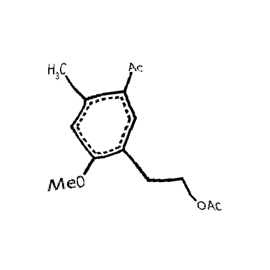 COc1cc(C)c(C(C)=O)cc1CCOC(C)=O